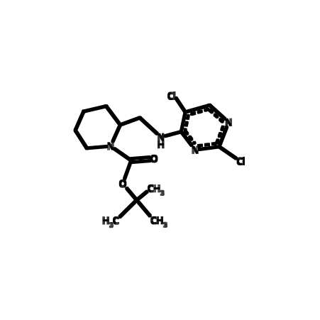 CC(C)(C)OC(=O)N1CCCCC1CNc1nc(Cl)ncc1Cl